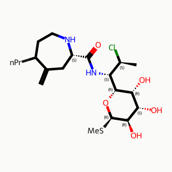 C=C1C[C@@H](C(=O)N[C@@H]([C@H]2O[C@H](SC)[C@H](O)[C@@H](O)[C@H]2O)[C@H](C)Cl)NCCC1CCC